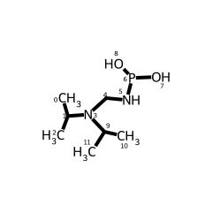 CC(C)N(CNP(O)O)C(C)C